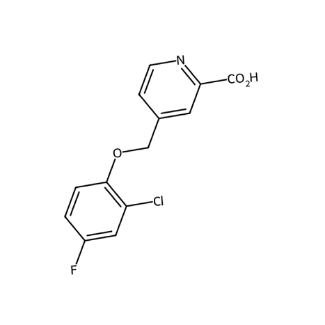 O=C(O)c1cc(COc2ccc(F)cc2Cl)ccn1